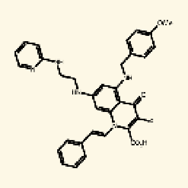 COc1ccc(CNc2cc(NCCNc3ccccn3)cc3c2c(=O)c(F)c(C(=O)O)n3C=Cc2ccccc2)cc1